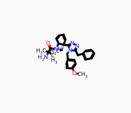 CC[C@@]1(c2nnc(Cc3ccccc3)n2Cc2ccc(OC)cc2)C=CC=CC1NC(=O)C(C)(C)N